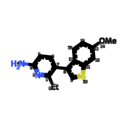 CCc1nc(N)ccc1-c1csc2cc(OC)ccc12